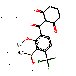 COc1c(C(=O)C2C(=O)CCCC2=O)ccc(C(F)(F)F)c1[S+](C)[O-]